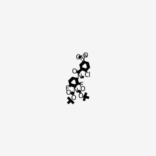 CN(C(=O)c1cc([N+](=O)[O-])ccc1Cl)c1ccc(F)c(N(C(=O)OC(C)(C)C)C(=O)OC(C)(C)C)c1F